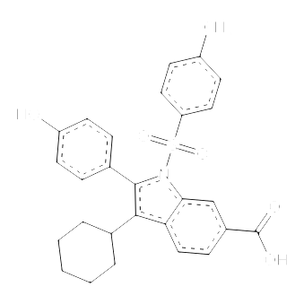 Cc1ccc(S(=O)(=O)n2c(-c3ccc(O)cc3)c(C3CCCCC3)c3ccc(C(=O)O)cc32)cc1